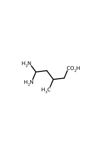 CC(CC(=O)O)CC(N)N